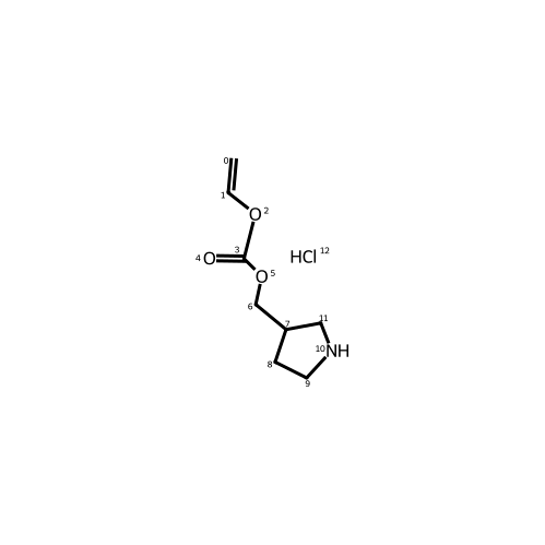 C=COC(=O)OCC1CCNC1.Cl